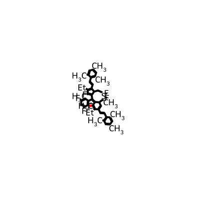 CCC1=C(C)/C2=C(\c3c(F)c(F)cc(F)c3F)C3=C(C)C(CC)=C(/C=C/c4c(C)cc(C)cc4C)C3CCS(F)(F)[C@@H](C)C2C=C1/C=C/c1c(C)cc(C)cc1C